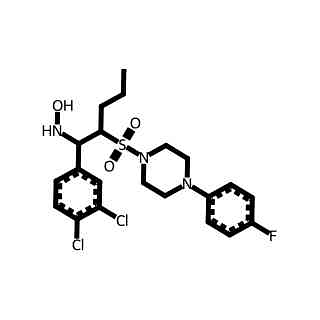 CCCC(C(NO)c1ccc(Cl)c(Cl)c1)S(=O)(=O)N1CCN(c2ccc(F)cc2)CC1